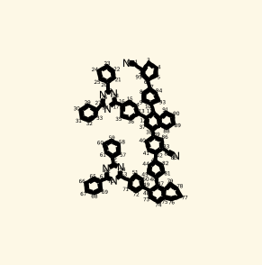 N#Cc1cccc(-c2ccc(-c3c(-c4ccc(-c5nc(-c6ccccc6)nc(-c6ccccc6)n5)cc4)cc(-c4ccc(-c5ccc(-c6c(-c7ccc(-c8nc(-c9ccccc9)nc(-c9ccccc9)n8)cc7)ccc7ccccc67)cc5)c(C#N)c4)c4ccccc34)cc2)c1